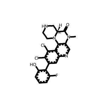 CN1C(=O)[C@H]2CNCCN2c2c1cnc1cc(-c3c(O)cccc3F)c(Cl)c(Cl)c21